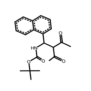 CC(=O)C(C(C)=O)C(NC(=O)OC(C)(C)C)c1cccc2ccccc12